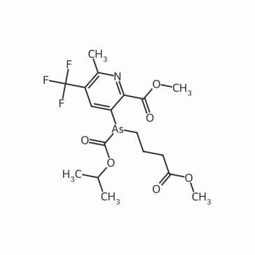 COC(=O)CCC[As](C(=O)OC(C)C)c1cc(C(F)(F)F)c(C)nc1C(=O)OC